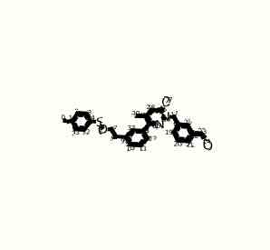 Cc1ccc(SOCCc2cccc(-c3nn(Cc4cccc(C=O)c4)c(=O)cc3C)c2)cc1